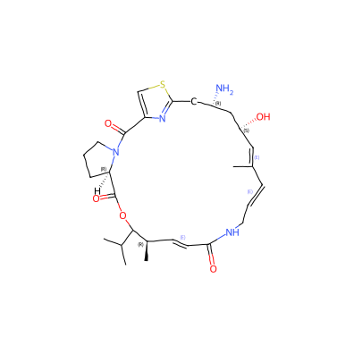 CC1=C\[C@@H](O)C[C@@H](N)Cc2nc(cs2)C(=O)N2CCC[C@@H]2C(=O)OC(C(C)C)[C@H](C)/C=C/C(=O)NC\C=C\1